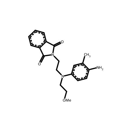 COCCN(CCN1C(=O)c2ccccc2C1=O)c1ccc(N)c(C)c1